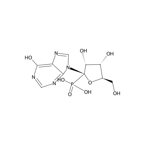 O=P(O)(O)[C@@]1(n2cnc3c(O)ncnc32)O[C@H](CO)[C@@H](O)[C@H]1O